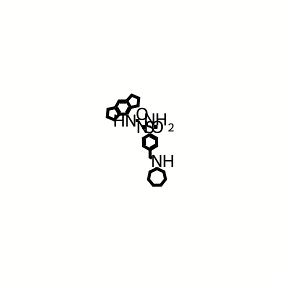 NS(=O)(=NC(=O)Nc1c2c(cc3c1CCC3)CCC2)c1ccc(CNC2CCCCCC2)cc1